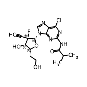 C#C[C@@]1(F)[C@H](O)[C@@H](CCO)O[C@H]1n1cnc2c(Cl)nc(NC(=O)C(C)C)nc21